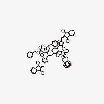 O=C1C(=Cc2cc3c(s2)C2=CC4C=C5C(=CC4C=C2C(C(=O)OCc2ccccc2)(C(=O)OCc2ccccc2)O3)c2sc(C=C3C(=O)c4ccccc4C3=O)cc2OC5(C(=O)OCc2ccccc2)C(=O)OCc2ccccc2)C(=O)c2ccccc21